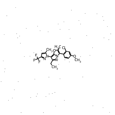 CCc1nn2c(-c3ccc(OC)cc3Cl)c(C)oc2c1-n1nc(C(F)(F)F)cc1C